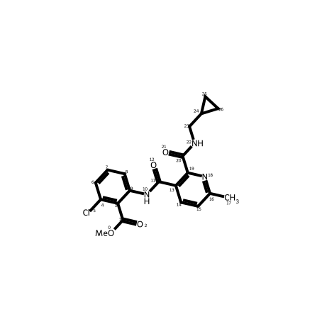 COC(=O)c1c(Cl)cccc1NC(=O)c1ccc(C)nc1C(=O)NCC1CC1